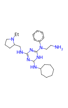 CCN1CCCC1CNC1=NC(NC2CCCCCC2)NC(N(CCN)c2ccccc2)=N1